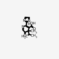 CC(C)C1(C)C(=O)C=NC(c2ncc[nH]2)=C1C(=O)O